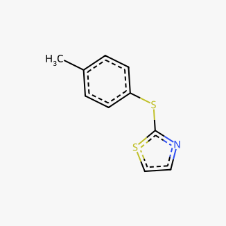 Cc1ccc(Sc2nccs2)cc1